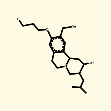 CC(C)CC1CN2CCc3cc(OCCCF)c(CO)cc3C2CC1O